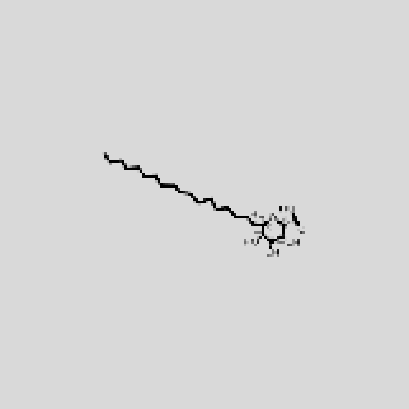 CCCCCCCCCCCCCCCCCC[C@@]1(O)O[C@H](C(=O)O)[C@@H](O)[C@H](O)[C@H]1O